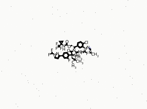 C=N/C=N\N(c1cc([C@@H](COC(=O)NC2(C(F)(F)F)CC2)N2C(=N)N[C@](CC(C)(C)C)(c3ccc(-c4ccn(C(F)F)n4)cc3F)C2=O)ccc1Cl)C(F)F